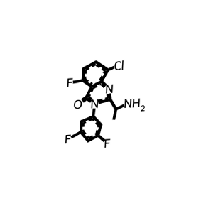 CC(N)c1nc2c(Cl)ccc(F)c2c(=O)n1-c1cc(F)cc(F)c1